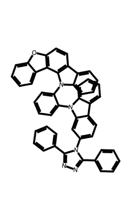 c1ccc(-c2nnc(-c3ccccc3)n2-c2ccc3c4ccccc4n(-c4ccccc4-n4c5ccccc5c5ccc6oc7ccccc7c6c54)c3c2)cc1